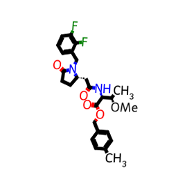 CO[C@H](C)[C@H](NC(=O)C[C@@H]1CCC(=O)N1Cc1cccc(F)c1F)C(=O)OCc1ccc(C)cc1